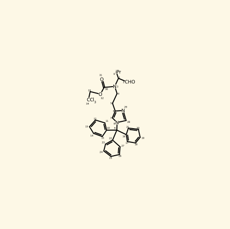 CC(C)C(C=O)N(CCc1cn(C(c2ccccc2)(c2ccccc2)c2ccccc2)cn1)C(=O)OCC(Cl)(Cl)Cl